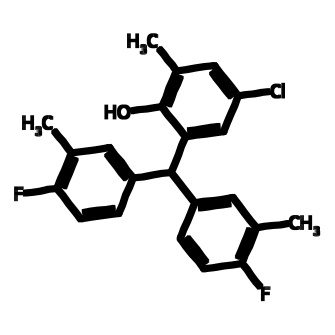 Cc1cc(C(c2ccc(F)c(C)c2)c2cc(Cl)cc(C)c2O)ccc1F